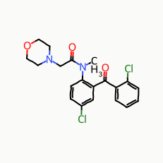 CN(C(=O)CN1CCOCC1)c1ccc(Cl)cc1C(=O)c1ccccc1Cl